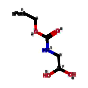 CCCCCCOC(=O)NCB(O)O